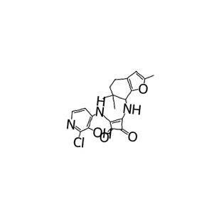 Cc1cc2c(o1)C(Nc1c(Nc3ccnc(Cl)c3O)c(=O)c1=O)C(C)(C)CC2